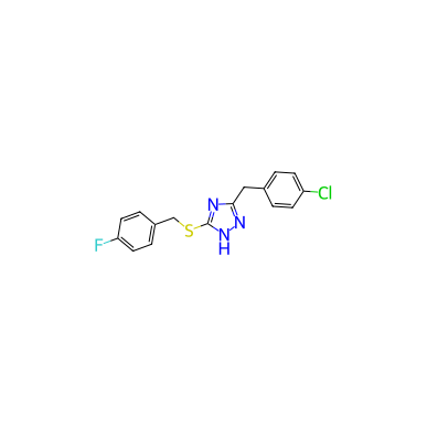 Fc1ccc(CSc2nc(Cc3ccc(Cl)cc3)n[nH]2)cc1